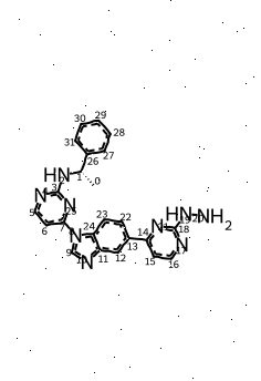 C[C@H](Nc1nccc(-n2cnc3cc(-c4ccnc(NN)n4)ccc32)n1)c1ccccc1